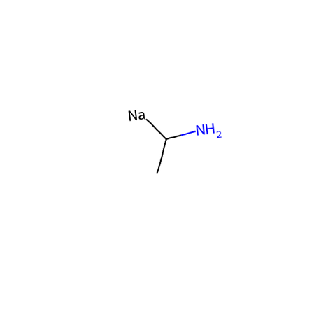 C[CH](N)[Na]